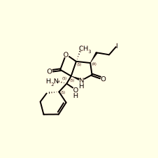 C[C@@]12OC(=O)[C@]1([C@@](N)(O)[C@@H]1C=CCCC1)NC(=O)[C@@H]2CCI